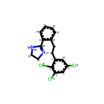 Clc1cc(Cl)c(Cl)c(CCc2ccccc2C2=NCCN2)c1